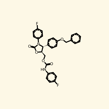 O=C(Nc1ccc(F)cc1)OC[C@H]1OC(=O)N(c2ccc(F)cc2)[C@@H]1c1ccc(OCc2ccccc2)cc1